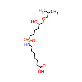 CC(C)COCC(O)CCCCS(=O)(=O)NCCCCCCC(=O)O